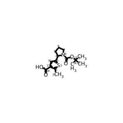 Cc1sc(C2CCCN2C(=O)OC(C)(C)C)cc1C(=O)O